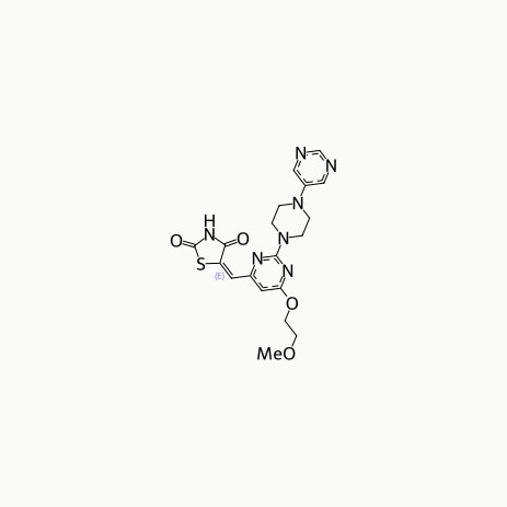 COCCOc1cc(/C=C2/SC(=O)NC2=O)nc(N2CCN(c3cncnc3)CC2)n1